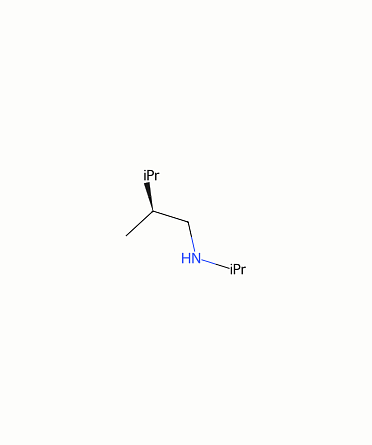 CC(C)NC[C@@H](C)C(C)C